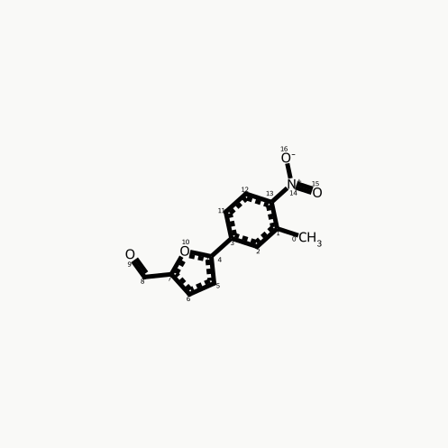 Cc1cc(-c2ccc(C=O)o2)ccc1[N+](=O)[O-]